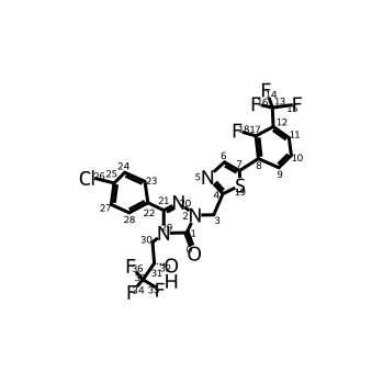 O=c1n(Cc2ncc(-c3cccc(C(F)(F)F)c3F)s2)nc(-c2ccc(Cl)cc2)n1C[C@H](O)C(F)(F)F